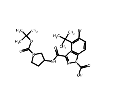 CC(C)(C)OC(=O)N1CCC(NC(=O)c2nn(C(=O)O)c3ccc(Br)c(C(C)(C)C)c23)C1